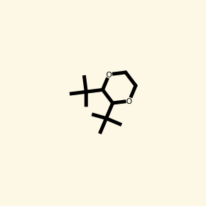 CC(C)(C)C1OCCOC1C(C)(C)C